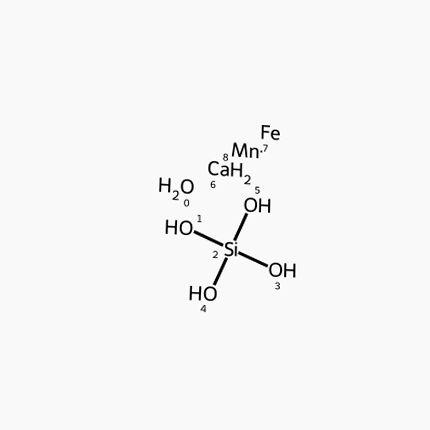 O.O[Si](O)(O)O.[CaH2].[Fe].[Mn]